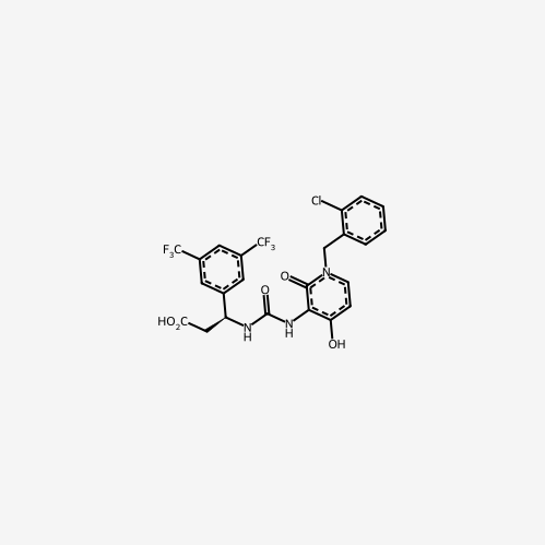 O=C(O)C[C@H](NC(=O)Nc1c(O)ccn(Cc2ccccc2Cl)c1=O)c1cc(C(F)(F)F)cc(C(F)(F)F)c1